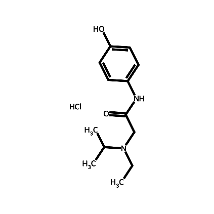 CCN(CC(=O)Nc1ccc(O)cc1)C(C)C.Cl